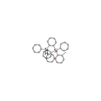 Cc1ccccc1[Si](c1ccccc1)(c1ccccc1)c1ccccc1[SiH](c1ccccc1)c1ccccc1